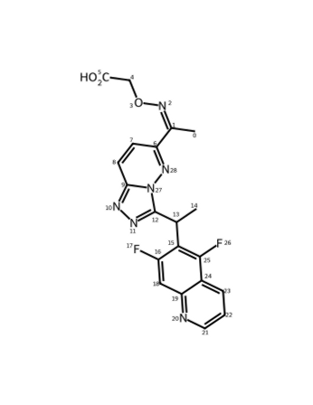 C/C(=N/OCC(=O)O)c1ccc2nnc(C(C)c3c(F)cc4ncccc4c3F)n2n1